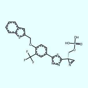 O=P(O)(O)OC[C@]1(c2nnc(-c3ccc(OCc4cc5ccccc5s4)c(C(F)(F)F)c3)s2)C=N1